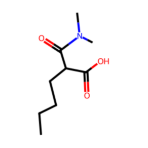 CCCCC(C(=O)O)C(=O)N(C)C